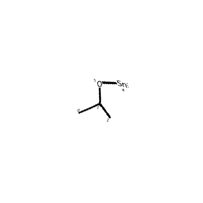 CC(C)[O][Sn]